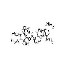 NCC1CC[C@H](N)[C@@H](OC2C(N)CC(N)[C@@H](O[C@@H]3OC(CO)[C@H](O)C(N)[C@@H]3O)[C@H]2O)O1